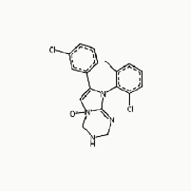 Cc1cccc(Cl)c1N1C(c2cccc(Cl)c2)=C[N+]2([O-])CNCN=C12